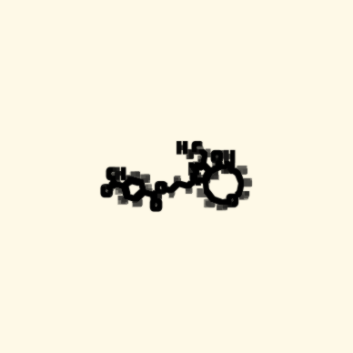 CCc1nn(CCCOC(=O)c2ccc(C(C)=O)cc2)c2c1C(=O)NCCCOCCC2